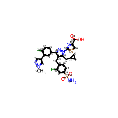 Cn1cc(-c2cc(-c3nn(-c4nc(C(=O)O)cs4)c(CC4CC4)c3Cc3ccc(S(N)(=O)=O)cc3F)ccc2F)cn1